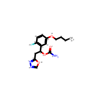 NC(=O)OC(Cc1nnco1)c1cc(OCCCC(F)(F)F)ccc1F